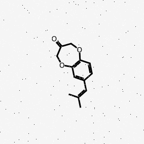 CC(C)=Cc1ccc2c(c1)OCC(=O)CO2